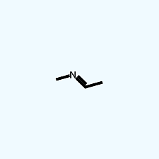 C/C=N/C